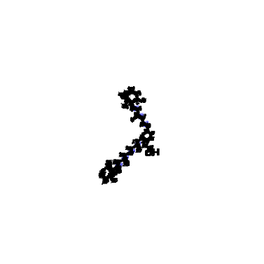 CC1=C(/C=C/C(C)=C/C=C/C2=CC(/C=C(C)/C=C/C=C(C)/C=C/C3=C(C)CCCC3(C)C)N(CCO)C=C2)C(C)(C)CCC1